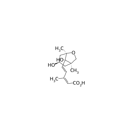 CC(=C/C(=O)O)/C=C/[C@]1(O)[C@@]2(C)CO[C@]1(C)C[C@H](O)C2